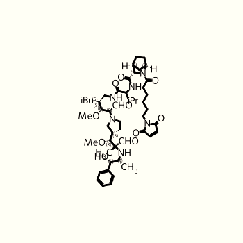 CC[C@H](C)[C@@H](CNC(=O)C(NC(=O)[C@@H]1[C@H]2CC[C@H](C2)N1C(=O)CCCCCN1C(=O)C=CC1=O)C(C)C)[C@@H](OC)[C@@H](C=O)N1CC[C@H]([C@@H](OC)[C@](C)(C=O)N[C@H](C)[C@@H](O)c2ccccc2)C1